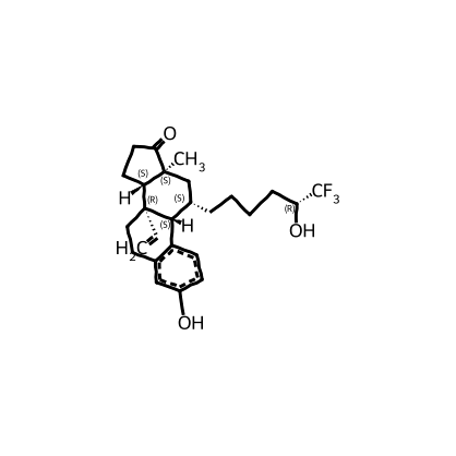 C=C[C@@]12CCc3cc(O)ccc3[C@H]1[C@@H](CCCC[C@@H](O)C(F)(F)F)C[C@]1(C)C(=O)CC[C@@H]21